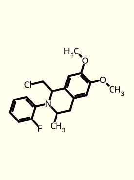 COc1cc2c(cc1OC)C(CCl)N(c1ccccc1F)C(C)C2